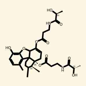 Cc1ccc(O)c2c1C13CCC(C)[C@H](C)[C@]1(OC(=O)CCNC(=O)[C@H](C)O)CC=C(OC(=O)CCNC(=O)[C@H](C)O)C3O2